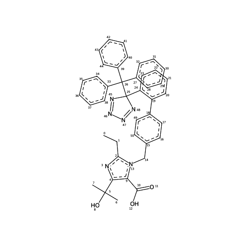 CCc1nc(C(C)(C)O)c(C(=O)O)n1Cc1ccc(-c2ccccc2C2(C(c3ccccc3)(c3ccccc3)c3ccccc3)N=NN=N2)cc1